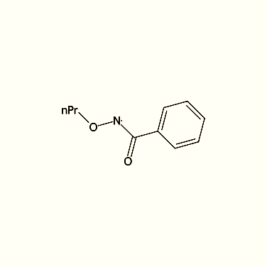 CCCO[N]C(=O)c1ccccc1